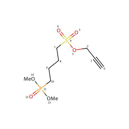 C#CCOS(=O)(=O)CCCCP(=O)(OC)OC